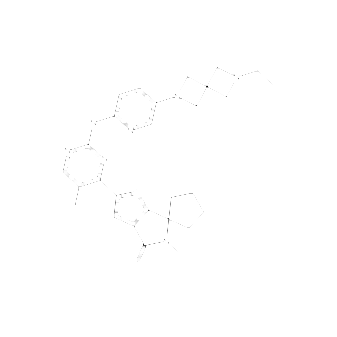 CCN1CC2(C1)CN(c1ccc(Nc3ncc(F)c(-c4cc5c(s4)C4(CCCC4)N(C)C5=O)n3)nc1)C2